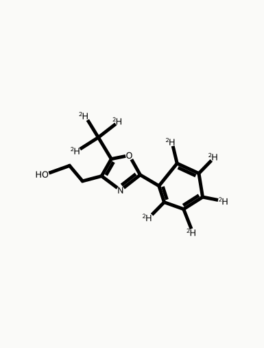 [2H]c1c([2H])c([2H])c(-c2nc(CCO)c(C([2H])([2H])[2H])o2)c([2H])c1[2H]